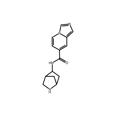 O=C(NC1CC2CC1CN2)c1ccn2cncc2c1